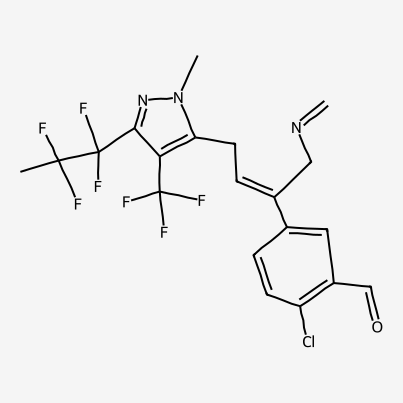 C=NC/C(=C\Cc1c(C(F)(F)F)c(C(F)(F)C(C)(F)F)nn1C)c1ccc(Cl)c(C=O)c1